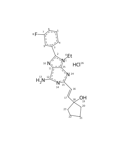 CCn1c(-c2cccc(F)c2)nc2c(N)nc(C=CC3(O)CCCC3)nc21.Cl